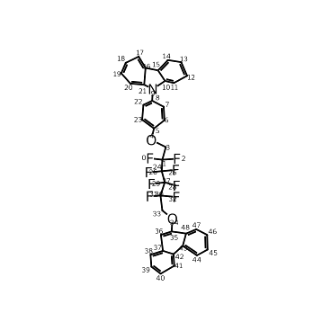 FC(F)(COc1ccc(-n2c3ccccc3c3ccccc32)cc1)C(F)(F)C(F)(F)C(F)(F)COc1cc2ccccc2c2ccccc12